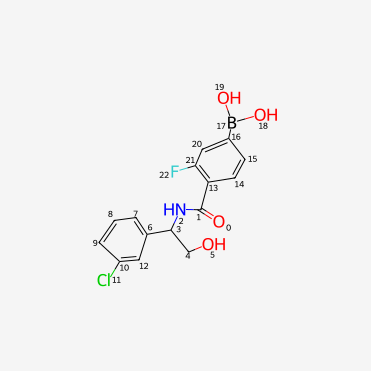 O=C(NC(CO)c1cccc(Cl)c1)c1ccc(B(O)O)cc1F